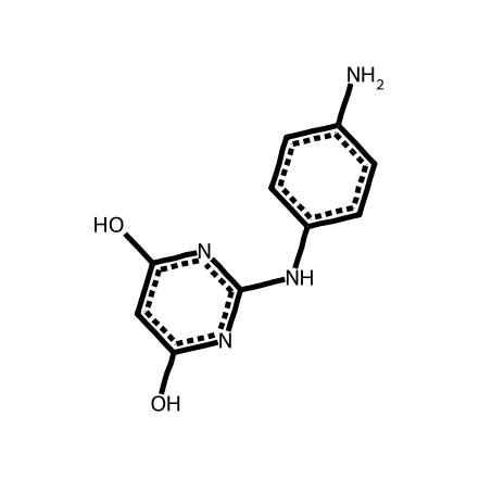 Nc1ccc(Nc2nc(O)cc(O)n2)cc1